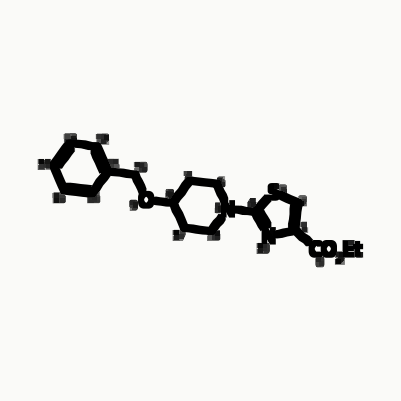 CCOC(=O)c1csc(N2CCC(OCc3ccccc3)CC2)n1